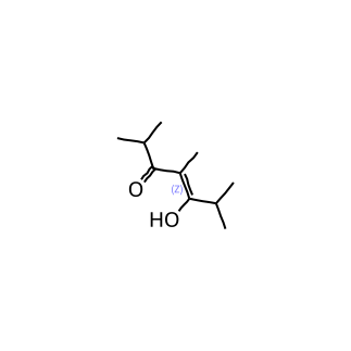 C/C(C(=O)C(C)C)=C(/O)C(C)C